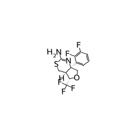 NC1=N[C@@]2(c3cccc(F)c3F)CO[C@H](C(F)(F)F)[C@H]2CS1